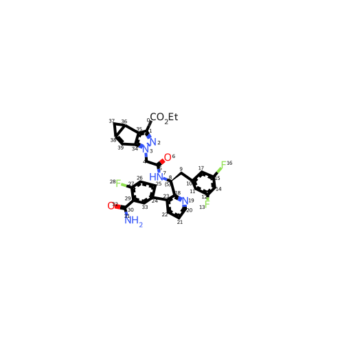 CCOC(=O)c1nn(CC(=O)N[C@@H](Cc2cc(F)cc(F)c2)c2ncccc2-c2ccc(F)c(C(N)=O)c2)c2c1C1CC1=C2